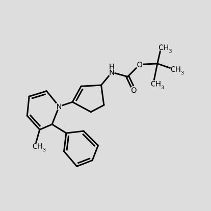 CC1=CC=CN(C2=CC(NC(=O)OC(C)(C)C)CC2)C1c1ccccc1